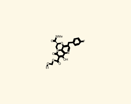 CCOCOC(=O)c1c(O)c2ncc(Cc3ccc(F)cc3)c3c2n(c1=O)C[C@@H](C(=O)NC)O3